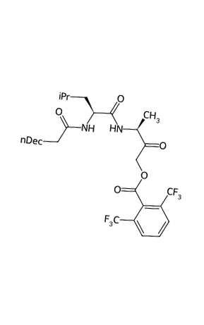 CCCCCCCCCCCC(=O)N[C@@H](CC(C)C)C(=O)N[C@@H](C)C(=O)COC(=O)c1c(C(F)(F)F)cccc1C(F)(F)F